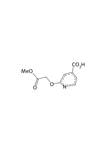 COC(=O)COc1cc(C(=O)O)ccn1